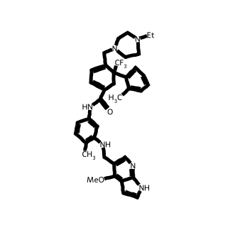 CCN1CCN(CC2=CC=C(C(=O)Nc3ccc(C)c(NCc4cnc5[nH]ccc5c4OC)c3)CC2(c2ccccc2C)C(F)(F)F)CC1